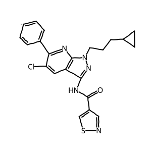 O=C(Nc1nn(CCCC2CC2)c2nc(-c3cc[c]cc3)c(Cl)cc12)c1cnsc1